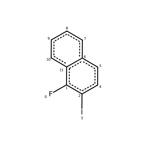 Fc1c(I)ccc2ccccc12